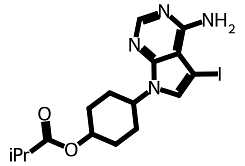 CC(C)C(=O)OC1CCC(n2cc(I)c3c(N)ncnc32)CC1